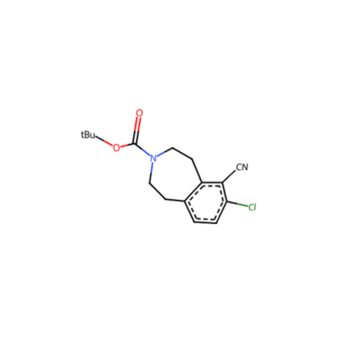 CC(C)(C)OC(=O)N1CCc2ccc(Cl)c(C#N)c2CC1